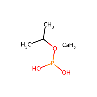 CC(C)OP(O)O.[CaH2]